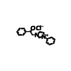 O=C(Cn1cc[n+](-c2ccccc2)c1)c1ccccc1.[Cl-]